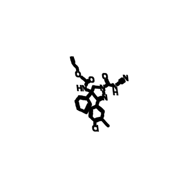 C=CCOC(=O)NC1(c2ccccc2)CN(C(=O)NC#N)N=C1c1ccc(Cl)c(C)c1